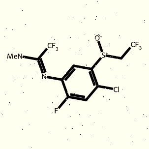 CN/C(=N/c1cc([S+]([O-])CC(F)(F)F)c(Cl)cc1F)C(F)(F)F